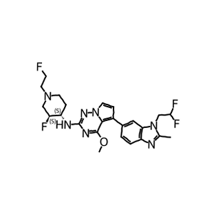 COc1nc(N[C@H]2CCN(CCF)C[C@@H]2F)nn2ccc(-c3ccc4nc(C)n(CC(F)F)c4c3)c12